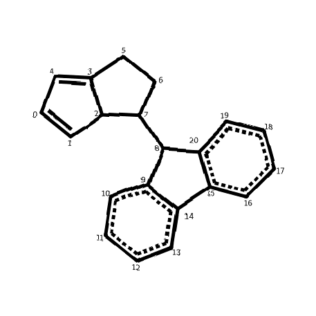 C1=CC2C(=C1)CCC2C1c2ccccc2-c2ccccc21